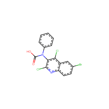 O=C(O)N(c1ccccc1)c1c(Cl)nc2ccc(Br)cc2c1Cl